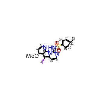 COc1ccnc2c1c(I)c1ccnc(NS(=O)(=O)c3ccc(C)cc3)n12